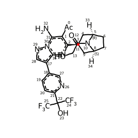 CC(=O)c1c([C@H]2C[C@H]3CC[C@@H](C2)N3C(=O)CO)nc2c(-c3ccc(C(O)(C(F)(F)F)C(F)(F)F)nc3)cnn2c1N